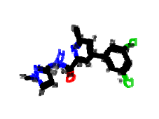 Cc1cc(-c2cc(Cl)cc(Cl)c2)cc(C(=O)Nc2ccn(C)n2)n1